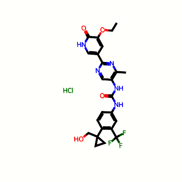 CCOc1cc(-c2ncc(NC(=O)Nc3ccc(C4(CO)CC4)c(C(F)(F)F)c3)c(C)n2)c[nH]c1=O.Cl